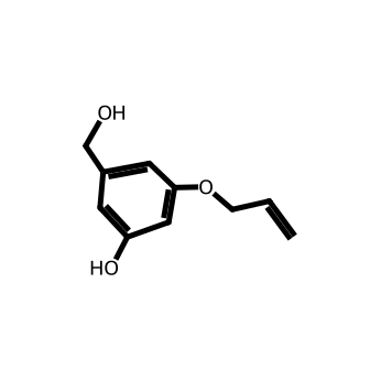 C=CCOc1cc(O)cc(CO)c1